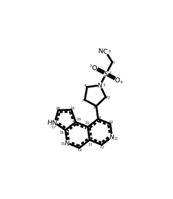 N#CCS(=O)(=O)N1CCC(c2cncc3cnc4[nH]ccc4c23)C1